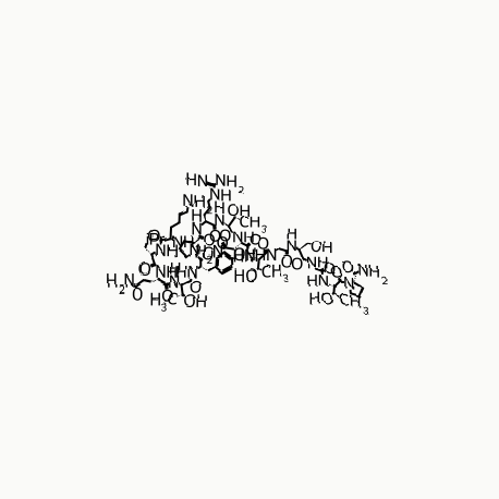 CC(C)C[C@H](NC(=O)[C@@H](N)CCCCN)C(=O)N[C@@H](CCC(N)=O)C(=O)N[C@H](C(=O)N[C@@H](Cc1ccc(O)cc1)C(=O)N1CCC[C@H]1C(=O)N[C@@H](CCCNC(=N)N)C(=O)N[C@H](C(=O)N[C@@H](CC(N)=O)C(=O)N[C@H](C(=O)NCC(=O)N[C@@H](CO)C(=O)NCC(=O)N[C@H](C(=O)N1CCC[C@H]1C(N)=O)[C@@H](C)O)[C@@H](C)O)[C@@H](C)O)[C@@H](C)O